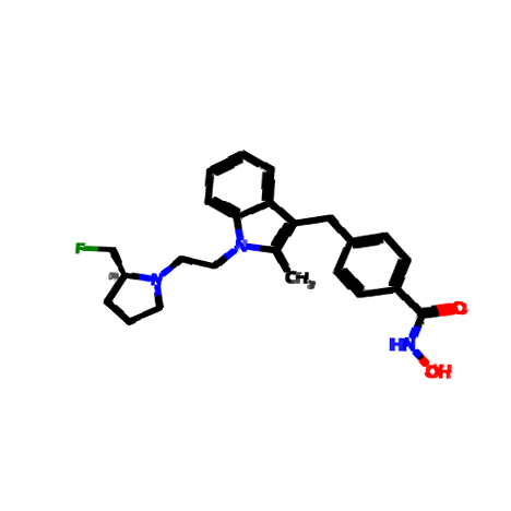 Cc1c(Cc2ccc(C(=O)NO)cc2)c2ccccc2n1CCN1CCC[C@H]1CF